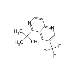 CC(C)(C)c1nccc2ncc(C(F)(F)F)cc12